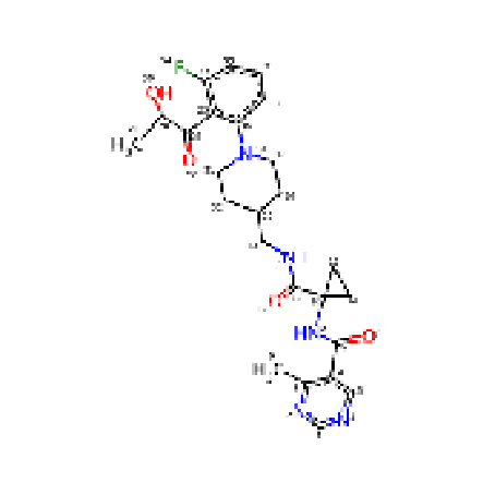 Cc1ncncc1C(=O)NC1(C(=O)NCC2CCN(c3cccc(F)c3C(=O)C(C)O)CC2)CC1